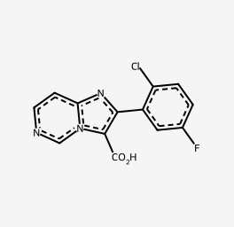 O=C(O)c1c(-c2cc(F)ccc2Cl)nc2ccncn12